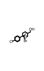 OCC12CCC(c3ccc(Cl)cc3)(OC1)C(Br)C2